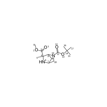 COC(=O)C1(C)NC2CC1N(C(=O)OC(C)(C)C)C2